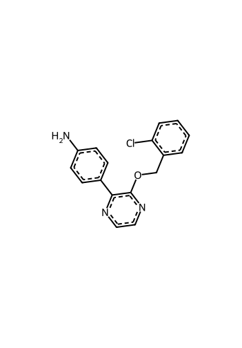 Nc1ccc(-c2nccnc2OCc2ccccc2Cl)cc1